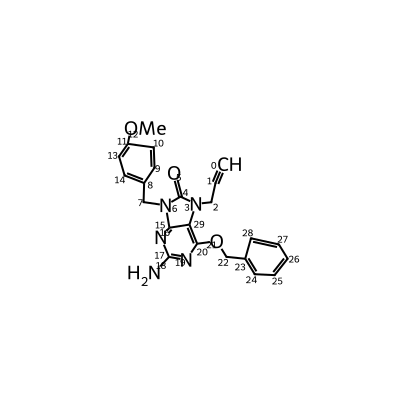 C#CCn1c(=O)n(Cc2ccc(OC)cc2)c2nc(N)nc(OCc3ccccc3)c21